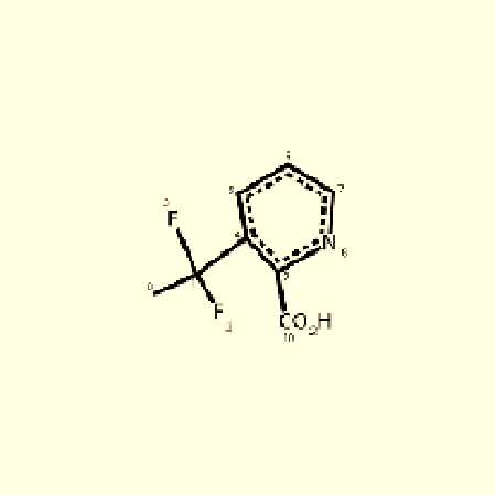 CC(F)(F)c1cccnc1C(=O)O